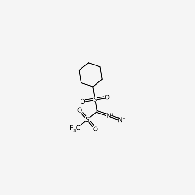 [N-]=[N+]=C(S(=O)(=O)C1CCCCC1)S(=O)(=O)C(F)(F)F